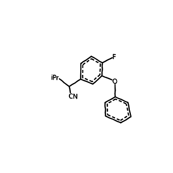 CC(C)C(C#N)c1ccc(F)c(Oc2ccccc2)c1